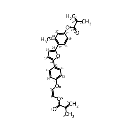 C=C(C)C(=O)O/C=C\Oc1ccc(-c2ccc(-c3ccc(OC(=O)C(=C)C)cc3C)o2)cc1